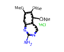 COc1cc2nc(N)ncc2c(OC)c1OC.Cl